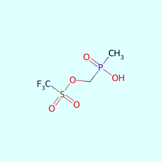 CP(=O)(O)COS(=O)(=O)C(F)(F)F